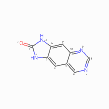 O=c1[nH]c2cc3cn[c]nc3cc2[nH]1